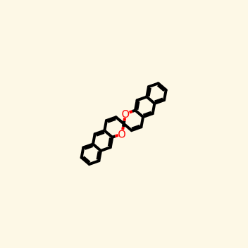 C1=CC2(C=Cc3cc4ccccc4cc3O2)Oc2cc3ccccc3cc21